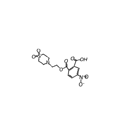 O=C(O)c1cc([N+](=O)[O-])ccc1C(=O)OCCN1CCS(=O)(=O)CC1